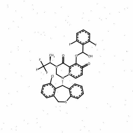 C[C@@H](N1CN([C@@H]2c3ccccc3SCc3cccc(Cl)c32)n2ccc(=O)c(OC(O)c3c(F)cccc3F)c2C1=O)C(F)(F)F